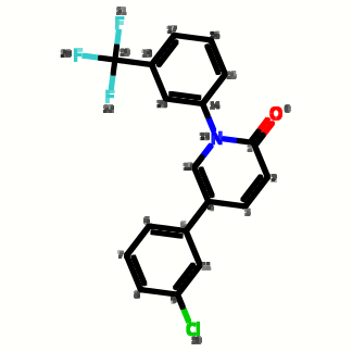 O=c1ccc(-c2cccc(Cl)c2)cn1-c1cccc(C(F)(F)F)c1